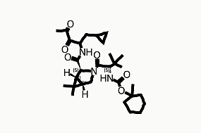 CC(=O)C(=O)C(CC1CC1)NC(=O)[C@@H]1[C@@H]2[C@H](CN1C(=O)[C@@H](NC(=O)OC1(C)CCCCC1)C(C)(C)C)C2(C)C